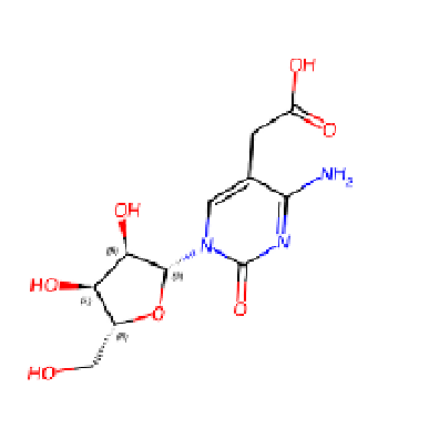 Nc1nc(=O)n([C@@H]2O[C@H](CO)[C@@H](O)[C@H]2O)cc1CC(=O)O